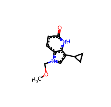 COCn1cc(C2CC2)c2[nH]c(=O)ccc21